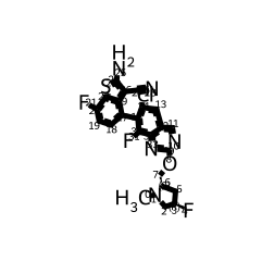 CN1C[C@H](F)C[C@H]1COc1ncc2cc(Cl)c(-c3ccc(F)c4sc(N)c(C#N)c34)c(F)c2n1